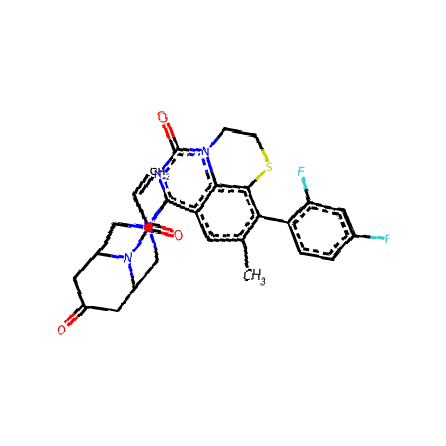 C=CC(=O)N1C2CC(=O)CC1CN(c1nc(=O)n3c4c(c(-c5ccc(F)cc5F)c(C)cc14)SCC3)C2